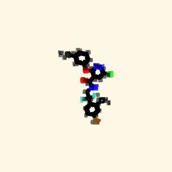 Cc1cc(Br)ccc1C(F)(F)CNC(=O)c1cc(Cl)nnc1Oc1cccc(C(F)(F)F)c1